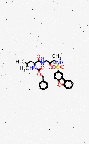 CC(C)C[C@H](NC(=O)OCc1ccccc1)C(=O)NCC(=O)[C@H](C)NS(=O)(=O)c1ccc2oc3ccccc3c2c1